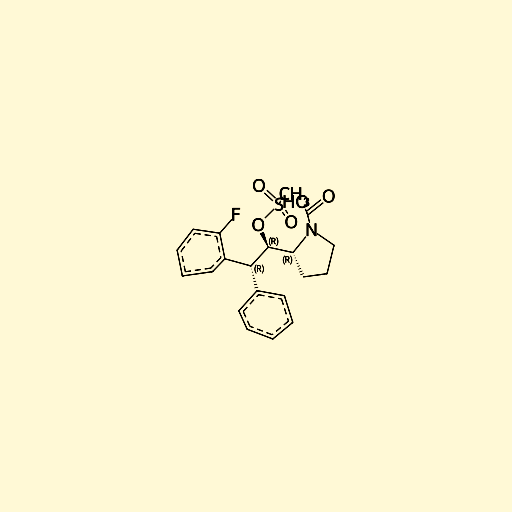 CS(=O)(=O)O[C@H]([C@H](c1ccccc1)c1ccccc1F)[C@H]1CCCN1C(=O)O